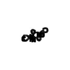 O=C(CC1CCCCCC1)N1Cc2ccccc2-c2c(nnn2CC2CCCCCCC2)-c2ccccc21